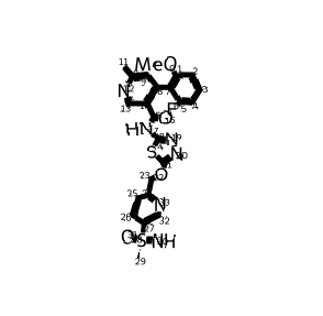 COc1cccc(F)c1-c1cc(C)ncc1C(=O)Nc1nnc(OCc2ccc([S@@](C)(=N)=O)cn2)s1